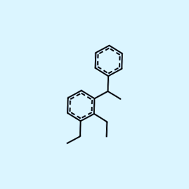 CCc1cccc(C(C)c2ccccc2)c1CC